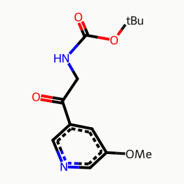 COc1cncc(C(=O)CNC(=O)OC(C)(C)C)c1